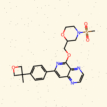 CC1(c2ccc(-c3cc4nccnc4c(OCC4CN(S(C)(=O)=O)CCO4)n3)cc2)COC1